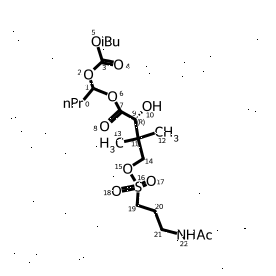 CCCC(OC(=O)OCC(C)C)OC(=O)[C@H](O)C(C)(C)COS(=O)(=O)CCCNC(C)=O